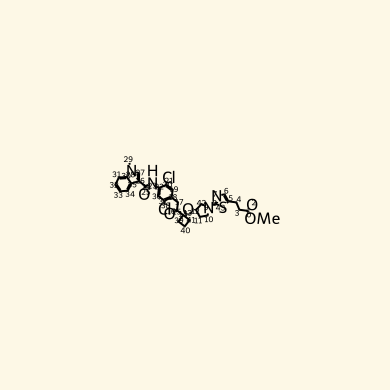 COC(=O)CCc1cnc(N2CC[C@H](OC3(C(=O)Cc4cc(Cl)c(NC(=O)c5cn(C)c6ccccc56)cc4Cl)CCC3)C2)s1